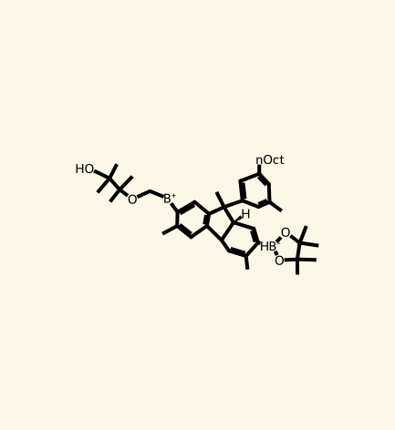 CCCCCCCCc1cc(C)cc(C2(C)c3cc([B+]COC(C)(C)C(C)(C)O)c(C)cc3C3C=C(C)C([BH-]4OC(C)(C)C(C)(C)O4)=C[C@H]32)c1